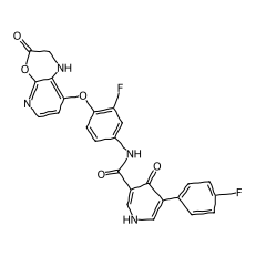 O=C1CNc2c(Oc3ccc(NC(=O)c4c[nH]cc(-c5ccc(F)cc5)c4=O)cc3F)ccnc2O1